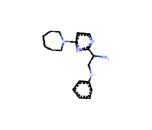 NC(CNc1ccccc1)c1nccc(N2CCCCCC2)n1